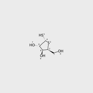 OC[C@@H]1S[C@@H](S)[C@@H](O)[C@@H]1O